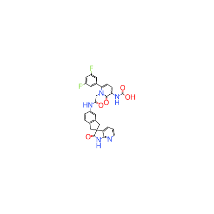 O=C(O)Nc1ccc(-c2cc(F)cc(F)c2)n(CC(=O)Nc2ccc3c(c2)CC2(C3)C(=O)Nc3ncccc32)c1=O